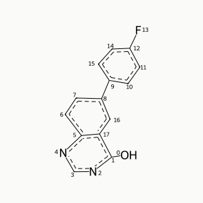 Oc1ncnc2ccc(-c3ccc(F)cc3)cc12